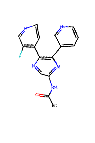 CCC(=O)Nc1cnc(-c2ccncc2F)c(-c2cccnc2)n1